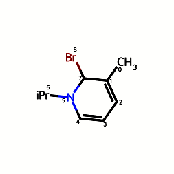 CC1=CC=CN(C(C)C)C1Br